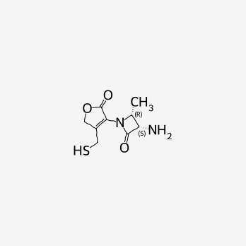 C[C@@H]1[C@H](N)C(=O)N1C1=C(CS)COC1=O